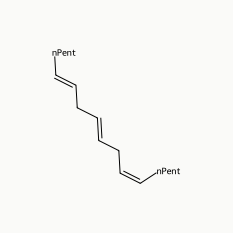 [CH2]CCCC/C=C\CC=CCC=CCCCCC